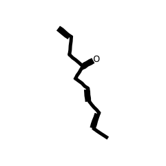 C=CCC(=O)CC=CC=CC